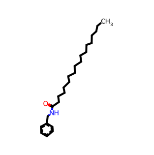 CCCCCCCCCCCCCCCCCC(=O)NCc1ccccc1